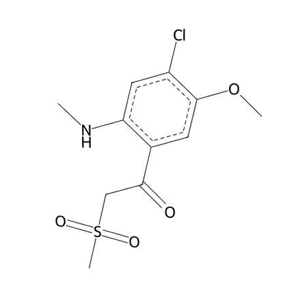 CNc1cc(Cl)c(OC)cc1C(=O)CS(C)(=O)=O